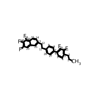 CCCc1ccc(-c2ccc(CCc3ccc4c(F)c(F)c(F)cc4c3)cc2)c(F)c1F